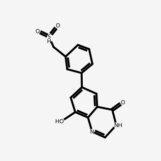 O=c1[nH]cnc2c(O)cc(-c3cccc(C[SH](=O)=O)c3)cc12